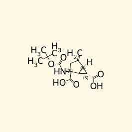 C=C1C[C@@](NC(=O)OC(C)(C)C)(C(=O)O)C2[C@@H]1[C@@H]2C(=O)O